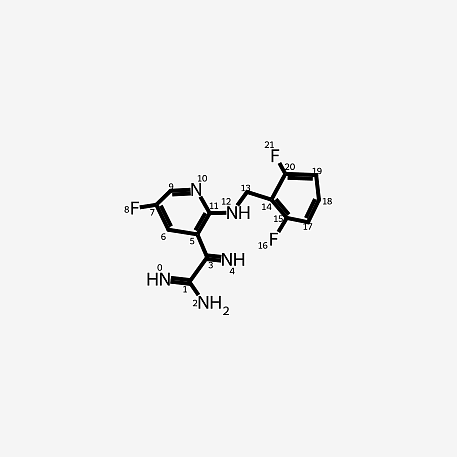 N=C(N)C(=N)c1cc(F)cnc1NCc1c(F)cccc1F